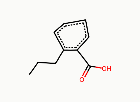 CCCc1ccccc1C(=O)O